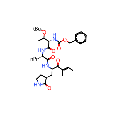 C/C=C(\C)C(=O)[C@H](C[C@@H]1CCNC1=O)NC(=O)[C@H](CCC)NC(=O)[C@@H](NC(=O)OCc1ccccc1)C(C)OC(C)(C)C